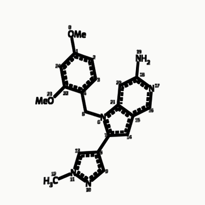 COc1ccc(Cn2c(-c3cnn(C)c3)cc3cnc(N)cc32)c(OC)c1